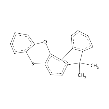 CC1(C)c2ccccc2-c2c1ccc1c2Oc2ccccc2S1